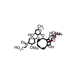 CCN(CC(=O)O)[C@H]1CO[C@@H](O[C@H]2[C@H](O[C@H]3C#C/C=C\C#C[C@]4(O)CC(=O)C(NC(=O)OC)=C3/C4=C\CSSC(C)C)O[C@H](C)C[C@@H]2O)C[C@@H]1OC